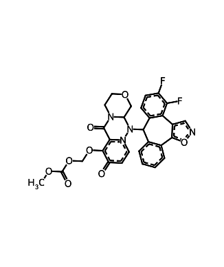 COC(=O)OCOc1c2n(ccc1=O)N(C1c3ccccc3-c3oncc3-c3c1ccc(F)c3F)C1COCCN1C2=O